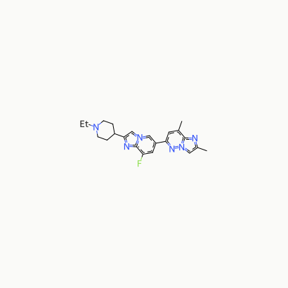 CCN1CCC(c2cn3cc(-c4cc(C)c5nc(C)cn5n4)cc(F)c3n2)CC1